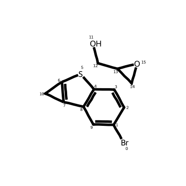 Brc1ccc2sc3c(c2c1)C3.OCC1CO1